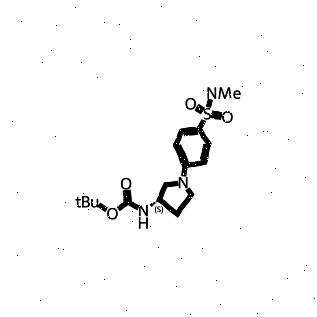 CNS(=O)(=O)c1ccc(N2CC[C@H](NC(=O)OC(C)(C)C)C2)cc1